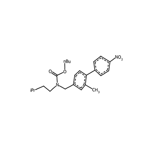 CCCCOC(=O)N(CCC(C)C)Cc1ccc(-c2ccc([N+](=O)[O-])cc2)c(C)c1